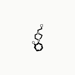 O=c1cccccc1N1CCN(CCCl)CC1